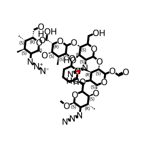 CO[C@H]1OC(CO)[C@@H](O[C@H]2OC(OC=O)[C@@H](OC3OC(CO)[C@@H](OC4O[C@@H](C(=O)O)[C@@H](O[C@H]5O[C@@H](CO)[C@@H](C)[C@H](C)C5N=[N+]=[N-])[C@H](C)[C@@H]4OC4CCCCO4)[C@H](O)[C@@H]3N=[N+]=[N-])[C@H](C)C2O)[C@H](C)C1N=[N+]=[N-]